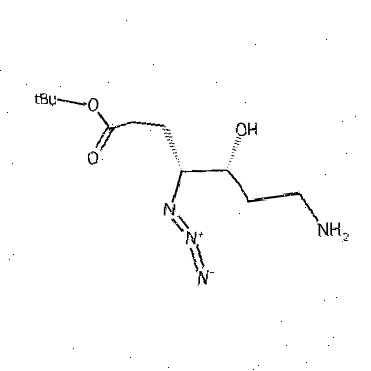 CC(C)(C)OC(=O)C[C@@H](N=[N+]=[N-])[C@H](O)CCN